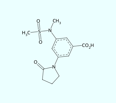 CN(c1cc(C(=O)O)cc(N2CCCC2=O)c1)S(C)(=O)=O